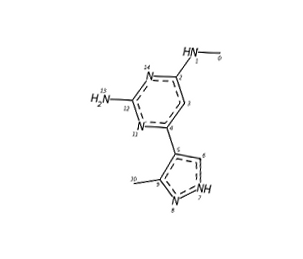 CNc1cc(-c2c[nH]nc2C)nc(N)n1